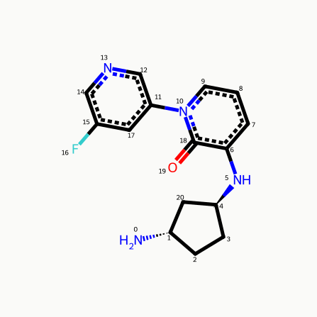 N[C@H]1CC[C@H](Nc2cccn(-c3cncc(F)c3)c2=O)C1